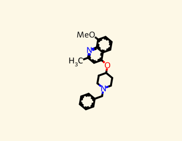 COc1cccc2c(OC3CCN(Cc4ccccc4)CC3)cc(C)nc12